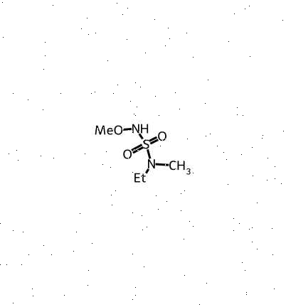 CCN(C)S(=O)(=O)NOC